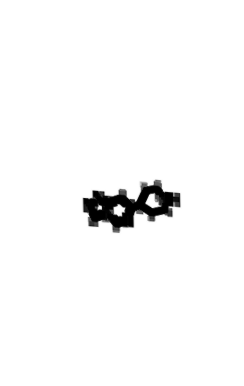 c1c(C2CCNCC2)ncn2cnnc12